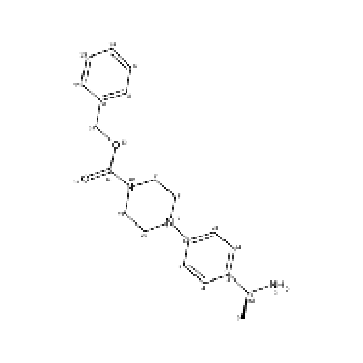 C[C@H](N)c1ccc(N2CCN(C(=O)OCc3ccccc3)CC2)cc1